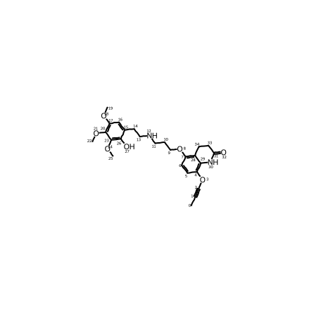 CC#COc1ccc(OCCCNCCc2cc(OC)c(OC)c(OC)c2O)c2c1NC(=O)CC2